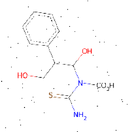 NC(=S)N(C(=O)O)C(O)C(CO)c1ccccc1